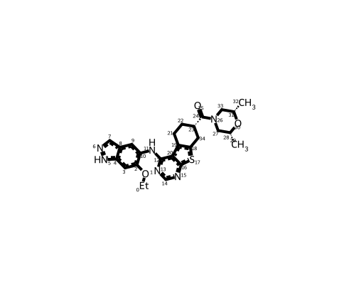 CCOc1cc2[nH]ncc2cc1Nc1ncnc2sc3c(c12)CC[C@H](C(=O)N1C[C@@H](C)O[C@@H](C)C1)C3